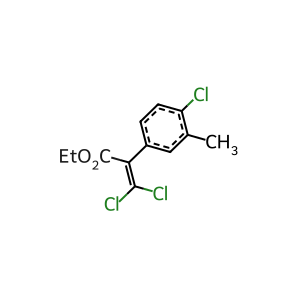 CCOC(=O)C(=C(Cl)Cl)c1ccc(Cl)c(C)c1